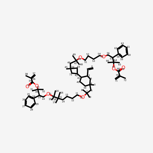 C=CC1CC(C)(CC(C)(C)OCCCCC(C)(C)C(C)(C)OCC(c2ccccc2)C(C)(C)OC(=O)C(=C)C)CCC1C1CC(C)(CC(C)(C)OCCCCOCC(c2ccccc2)C(C)(C)OC(=O)C(=C)C)C1